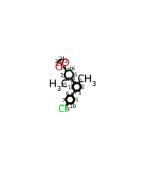 Cc1ccc(-c2ccc(Cl)cc2)cc1C1CCC(C2OCCO2)CC1C